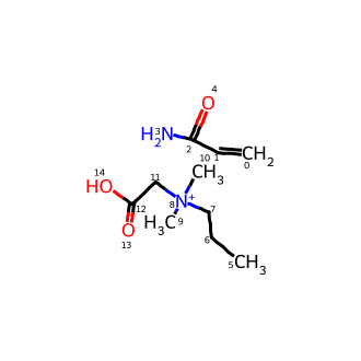 C=CC(N)=O.CCC[N+](C)(C)CC(=O)O